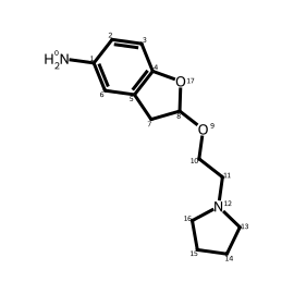 Nc1ccc2c(c1)CC(OCCN1CCCC1)O2